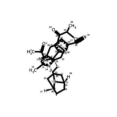 CC(=O)N[C@@H](CCN1[C@@H]2CC[C@H]1C[C@@H](n1c(C)nc3c1CCN(C(=O)C(C)C)C3)C2)c1ccc(C#N)s1